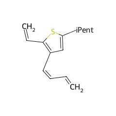 C=C/C=C\c1cc(C(C)CCC)sc1C=C